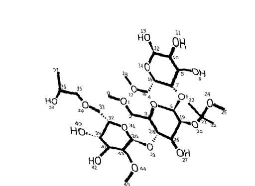 COCC1O[C@@H](O[C@H]2C(O)C(O)[C@H](O)O[C@H]2COC)[C@@H](OC(C)(C)OC)C(O)[C@@H]1O[C@@H]1O[C@@H](COCC(C)O)[C@@H](O)C(O)C1OC